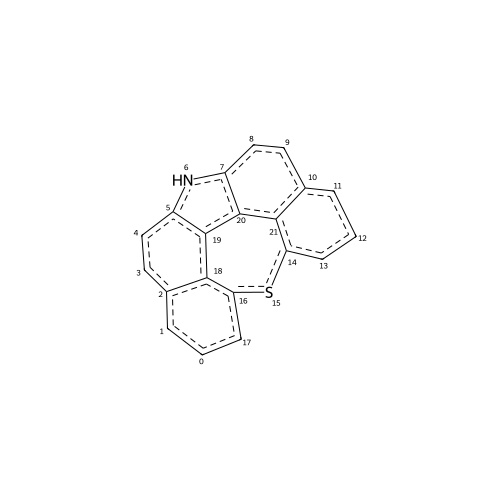 c1cc2ccc3[nH]c4ccc5cccc6sc(c1)c2c3c4c56